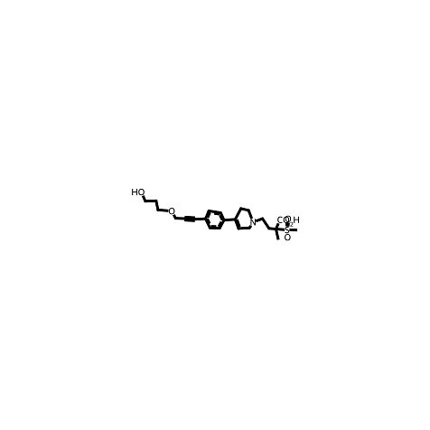 CC(CCN1CC=C(c2ccc(C#CCOCCCO)cc2)CC1)(C(=O)O)S(C)(=O)=O